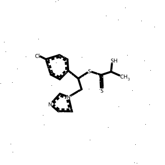 CC(S)C(=S)SC(Cn1ccnc1)c1ccc(Cl)cc1